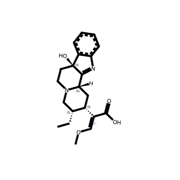 CC[C@@H]1CN2CC[C@@]3(O)C(=Nc4ccccc43)[C@@H]2C[C@@H]1/C(=C\OC)C(=O)O